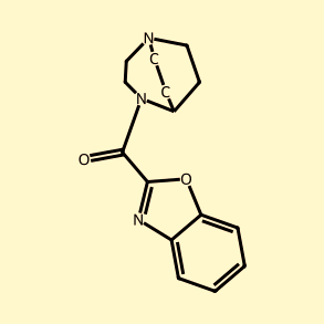 O=C(c1nc2ccccc2o1)N1CCN2CCC1CC2